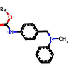 CN(Cc1ccc(NC(=O)OC(C)(C)C)cc1)c1ccccc1